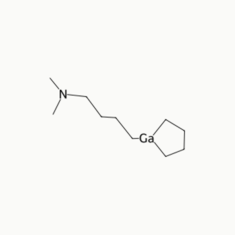 CN(C)CCC[CH2][Ga]1[CH2]CC[CH2]1